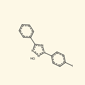 Cl.Ic1ccc(-n2nnc(-c3ccccc3)n2)cc1